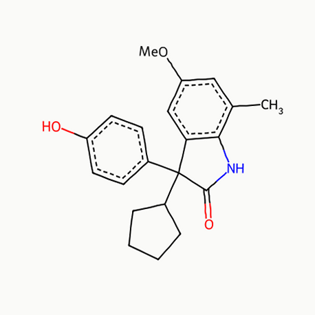 COc1cc(C)c2c(c1)C(c1ccc(O)cc1)(C1CCCC1)C(=O)N2